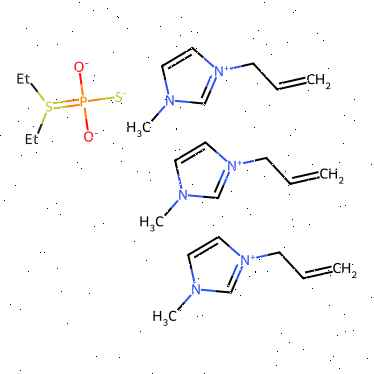 C=CC[n+]1ccn(C)c1.C=CC[n+]1ccn(C)c1.C=CC[n+]1ccn(C)c1.CCS(CC)=P([O-])([O-])[S-]